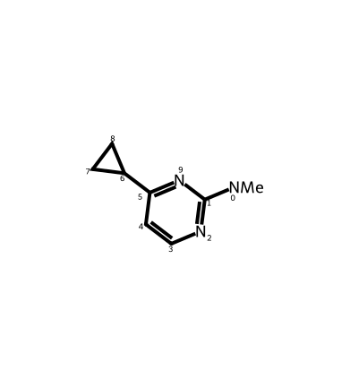 CNc1nccc(C2CC2)n1